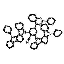 N#Cc1c(-n2c3ccccc3c3c2ccc2c4ccccc4n(-c4ccccc4)c23)cc(-c2nc(-c3ccccc3)nc3ccccc23)cc1-n1c2ccccc2c2ccc3c(c4ccccc4n3-c3ccccc3)c21